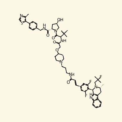 Cc1ncsc1-c1ccc(CNC(=O)[C@@H]2C[C@@H](O)CN2C(=O)C(NC(=O)COC2CCN(CCCNC(=O)/C=C/c3cc(F)c([C@@H]4c5[nH]c6ccccc6c5C[C@@H](C)N4CC(C)(C)F)c(F)c3)CC2)C(C)(C)C)cc1